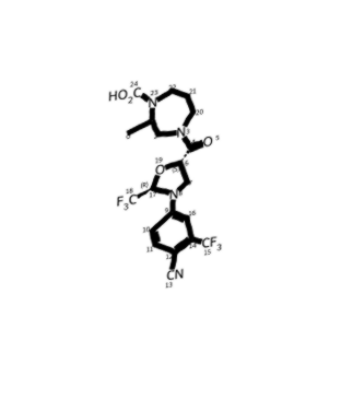 CC1CN(C(=O)[C@@H]2CN(c3ccc(C#N)c(C(F)(F)F)c3)[C@@H](C(F)(F)F)O2)CCCN1C(=O)O